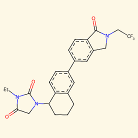 CCN1C(=O)CN(C2CCCc3cc(-c4ccc5c(c4)CN(CC(F)(F)F)C5=O)ccc32)C1=O